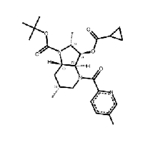 C[C@@H]1C[C@H]2[C@@H]([C@H](OC(=O)C3CC3)[C@@H](C)N2C(=O)OC(C)(C)C)N(C(=O)c2ccc(F)cn2)C1